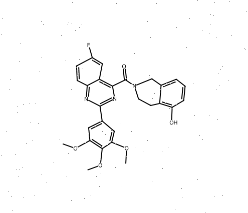 COc1cc(-c2nc(C(=O)N3CCc4c(O)cccc4C3)c3cc(F)ccc3n2)cc(OC)c1OC